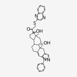 CC12Cc3cnn(-c4ccccc4)c3C=C1CCC1C2[C@@H](O)CC2(C)C1CC[C@]2(O)C(=O)CSc1cnc2ccccc2n1